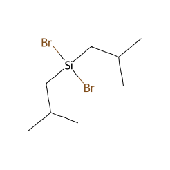 CC(C)C[Si](Br)(Br)CC(C)C